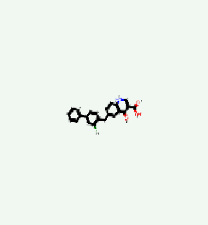 O=C(O)c1c[nH]c2ccc(Cc3ccc(-c4ccccc4)cc3F)cc2c1=O